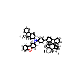 CC1(C)C2=C(CCC=C2)c2ccc(N(c3ccc(-c4ccc5c(c4)C4(c6ccccc6-5)c5ccccc5C(C)(C)c5ccccc54)cc3)c3ccc4oc5ccccc5c4c3)cc21